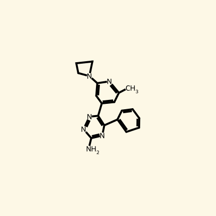 Cc1cc(-c2nnc(N)nc2-c2ccccc2)cc(N2CCC2)n1